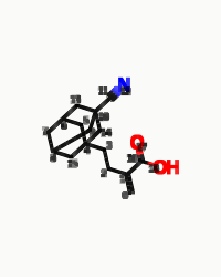 C=C(CCC12CC3CC(CC(C#N)(C3)C1)C2)C(=O)O